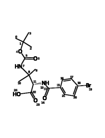 CC(C)(C)OC(=O)NC(C)(C)[C@H](NC(=O)c1ccc(Br)cc1)C(=O)O